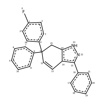 Fc1ccc(C2(c3ccccc3)C=Cc3c(-c4ccccc4)n[nH]c3C2)cc1